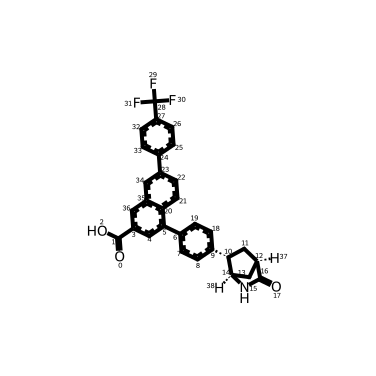 O=C(O)c1cc(-c2ccc([C@@H]3C[C@@H]4C[C@H]3NC4=O)cc2)c2ccc(-c3ccc(C(F)(F)F)cc3)cc2c1